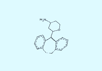 NC1CCOC(C2c3ccccc3CCc3ccccc32)C1